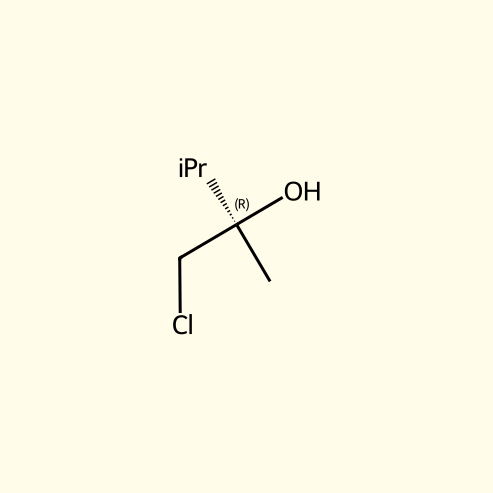 CC(C)[C@@](C)(O)CCl